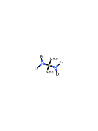 CCN(CC)[Si](NC)(NC)N(CC)CC